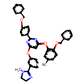 CN1CCN=C1c1cccc(Oc2cc(Oc3cc(C#N)ccc3OCc3ccccc3)nc(-c3ccc(OCc4ccccc4)cc3)n2)c1